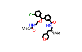 CN[C@H](CNC(=O)c1cccc(C(OCCNC(=O)OC)c2cccc(Cl)c2)c1)CC1CCOCC1